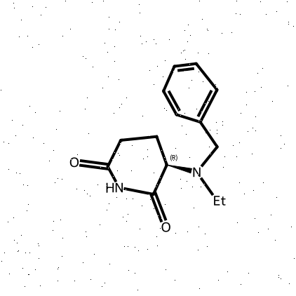 CCN(Cc1ccccc1)[C@@H]1CCC(=O)NC1=O